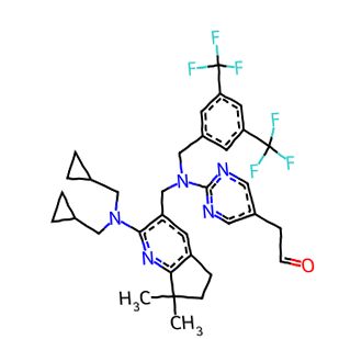 CC1(C)CCc2cc(CN(Cc3cc(C(F)(F)F)cc(C(F)(F)F)c3)c3ncc(CC=O)cn3)c(N(CC3CC3)CC3CC3)nc21